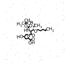 C=CCCCO[C@@H](CC)[C@H](NC(=O)OC(C)(C)C)C(=O)N1CC(O)CC1C(=O)O